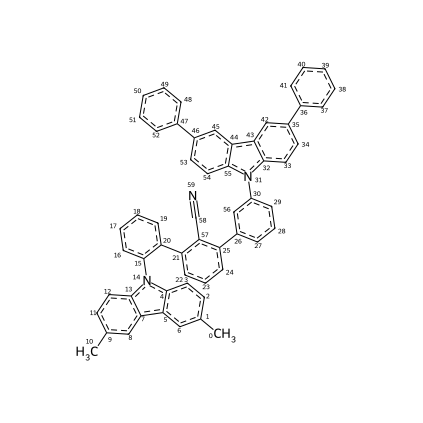 Cc1ccc2c(c1)c1cc(C)ccc1n2-c1ccccc1-c1cccc(-c2cccc(-n3c4ccc(-c5ccccc5)cc4c4cc(-c5ccccc5)ccc43)c2)c1C#N